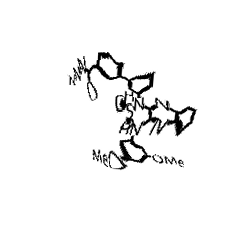 COc1cc(Nc2nc3ccccc3nc2N(c2cccc(-c3cccc(C(=O)N=[N+]=[N-])c3)c2)[SH](=O)=O)cc(OC)c1